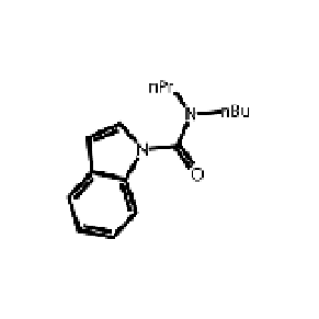 CCCCN(CCC)C(=O)n1ccc2ccccc21